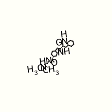 CN(C)CCNC(=O)c1ccc2cc(-c3cc4ccccc4[nH]c3=O)[nH]c2c1